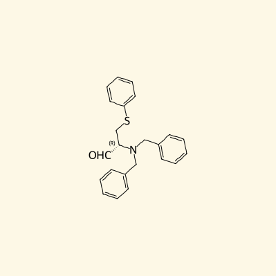 O=C[C@H](CSc1ccccc1)N(Cc1ccccc1)Cc1ccccc1